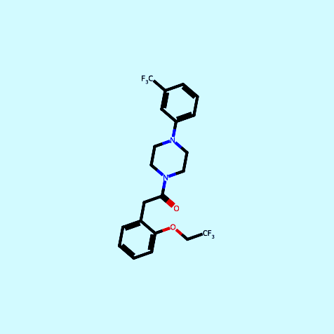 O=C(Cc1ccccc1OCC(F)(F)F)N1CCN(c2cccc(C(F)(F)F)c2)CC1